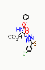 O=C(O)CC(NC(=O)OCc1ccccc1)C(=O)Cn1nnc(C(=S)c2ccc(Cl)cc2)n1